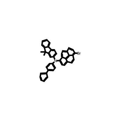 CC1(C)c2ccccc2-c2ccc(N(c3ccc(-c4ccccc4)cc3)c3ccc4ccc5c(Br)ccc6ccc3c4c65)cc21